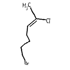 CC(Cl)=CCCBr